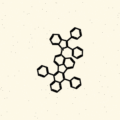 c1ccc(-c2c3c(c(-c4ccccc4)c4ccccc24)-c2ccc(-n4c(-c5ccccc5)c(-c5ccccc5)c5ccccc54)c4cccc-3c24)cc1